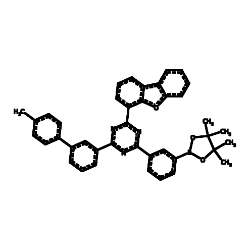 Cc1ccc(-c2cccc(-c3nc(-c4cccc(B5OC(C)(C)C(C)(C)O5)c4)nc(-c4cccc5c4oc4ccccc45)n3)c2)cc1